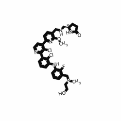 COc1nc(-c2ccnc(-c3cccc(Nc4cccc(CN(C)CCO)c4F)c3Cl)c2Cl)ccc1CNC[C@H]1CCC(=O)N1